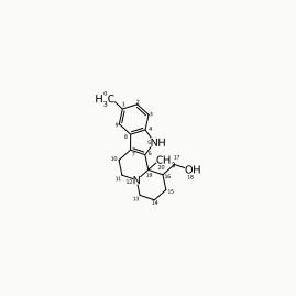 Cc1ccc2[nH]c3c(c2c1)CCN1CCCC(CO)C31C